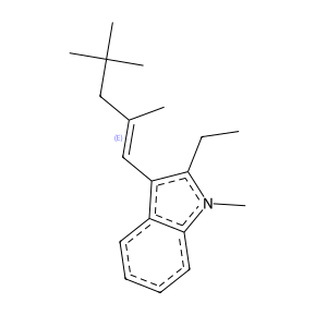 CCc1c(/C=C(\C)CC(C)(C)C)c2ccccc2n1C